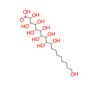 O=C(O)C(O)C(O)C(O)C(O)C(O)C(O)C(O)C(O)C(O)CCCCCCCCO